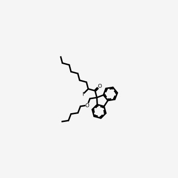 CCCCCCCC(I)C(=O)C1(COCCCCC)c2ccccc2-c2ccccc21